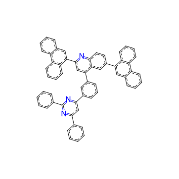 c1ccc(-c2cc(-c3cccc(-c4cc(-c5cc6ccccc6c6ccccc56)nc5ccc(-c6cc7ccccc7c7ccccc67)cc45)c3)nc(-c3ccccc3)n2)cc1